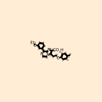 CCOc1cccc(-c2nccn3c(CCOc4ccc(C)cc4)c(C(=O)O)nc23)c1